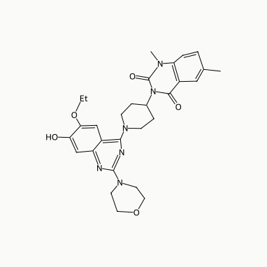 CCOc1cc2c(N3CCC(n4c(=O)c5cc(C)ccc5n(C)c4=O)CC3)nc(N3CCOCC3)nc2cc1O